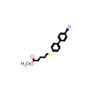 COC(=O)CCCCSc1ccc(-c2ccc(C#N)cc2)cc1